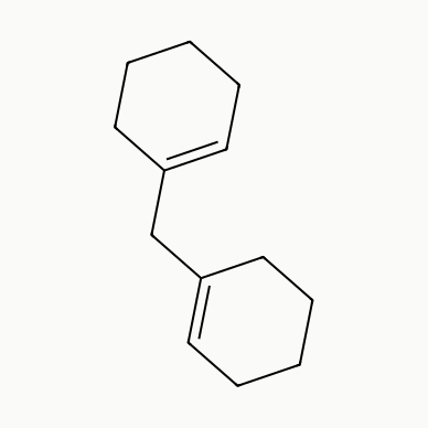 C1=C(CC2=CCCCC2)CCCC1